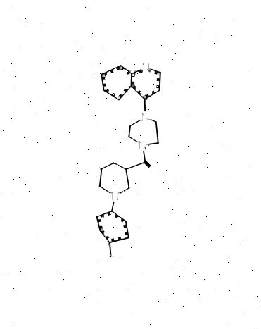 O=C(C1CCCN(c2ccc(F)cc2)C1)N1CCN(c2ccnc3ccccc23)CC1